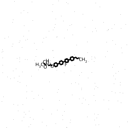 C=CCCC1CCC(c2ccc(C3CCC(C4CCC(OCCNC(=O)C(=C)C)CC4)CC3)c(F)c2)CC1